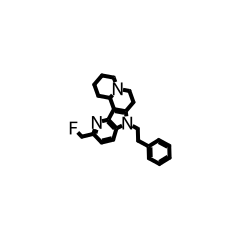 FCc1ccc2c(n1)c1c(n2CCc2ccccc2)CCN2CCCCC12